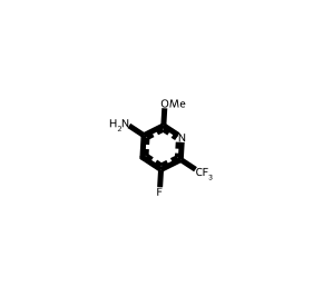 COc1nc(C(F)(F)F)c(F)cc1N